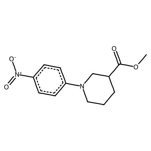 COC(=O)C1CCCN(c2ccc([N+](=O)[O-])cc2)C1